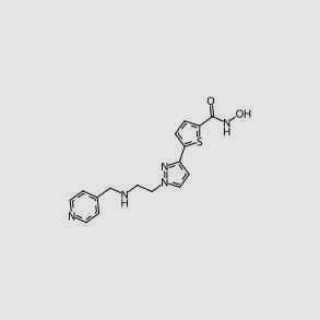 O=C(NO)c1ccc(-c2ccn(CCNCc3ccncc3)n2)s1